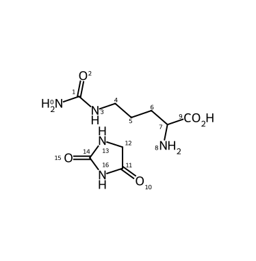 NC(=O)NCCCC(N)C(=O)O.O=C1CNC(=O)N1